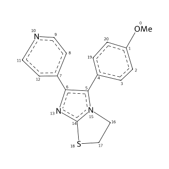 COc1ccc(-c2c(-c3ccncc3)nc3n2CCS3)cc1